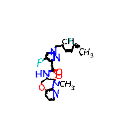 C=C(/C=C\C(F)=C/C)Cn1cc(F)c(C(=O)N[C@H]2COc3cccnc3N(C)C2=O)n1